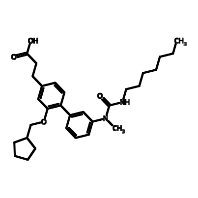 CCCCCCCNC(=O)N(C)c1cccc(-c2ccc(CCC(=O)O)cc2OCC2CCCC2)c1